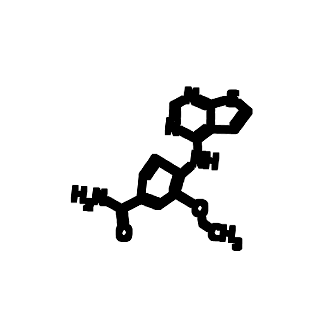 CCOc1cc(C(N)=O)ccc1Nc1ncnc2sccc12